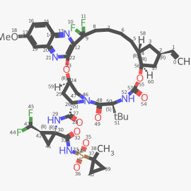 C=C[C@@H]1C[C@H]2CCCCC(F)(F)c3nc4ccc(OC)cc4nc3O[C@@H]3C[C@@H](C(=O)N[C@]4(C(=O)NS(=O)(=O)C5(C)CC5)C[C@H]4C(F)F)N(C3)C(=O)[C@H](C(C)(C)C)NC(=O)O[C@@H]2C1